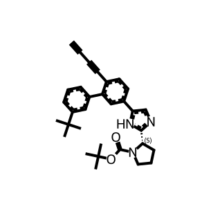 C#CC#Cc1ccc(-c2cnc([C@@H]3CCCN3C(=O)OC(C)(C)C)[nH]2)cc1-c1cccc(C(C)(C)C)c1